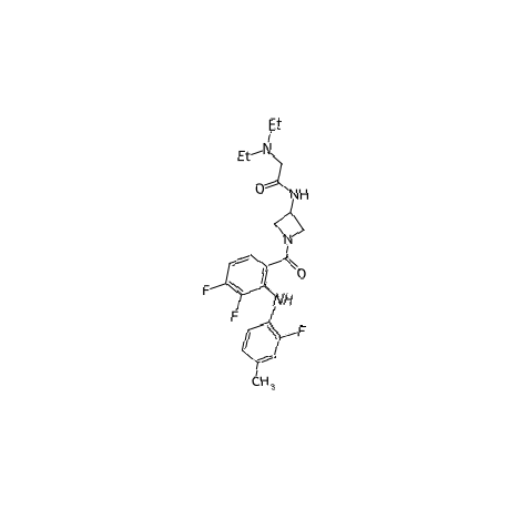 CCN(CC)CC(=O)NC1CN(C(=O)c2ccc(F)c(F)c2Nc2ccc(C)cc2F)C1